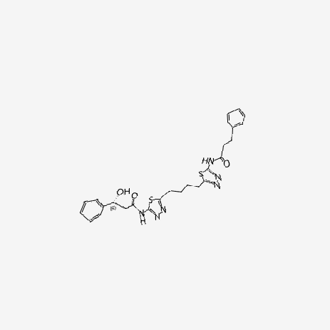 O=C(CCc1ccccc1)Nc1nnc(CCCCc2nnc(NC(=O)C[C@@H](O)c3ccccc3)s2)s1